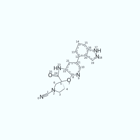 N#CN1CC[C@@]2(C1)Oc1ncc(-c3cccc4[nH]ncc34)cc1NC2=O